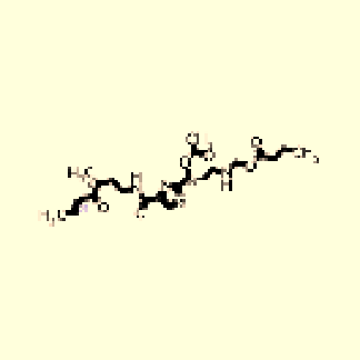 C/C=C/C(=O)[C@@H](C)CCNC(=O)c1csc([C@@H](CCNCOC(=O)CCC)OC(C)=O)n1